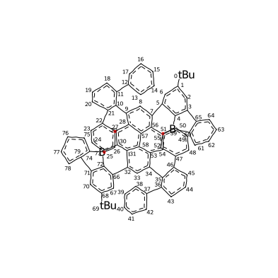 CC(C)(C)c1cc2c3c(c1)-c1cc(-c4c(-c5ccccc5)cccc4-c4ccccc4)c4cc5c6c(cc(-c7c(-c8ccccc8)cccc7-c7ccccc7)c7cc(c1c4c76)B3c1ccccc1-2)-c1cc(C(C)(C)C)cc2c1B5c1ccccc1-2